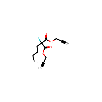 C#CCOC(=O)C(F)(CCCC)C(=O)OCC#C